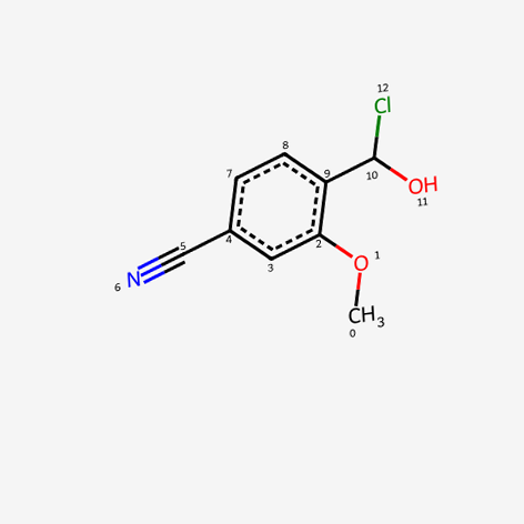 COc1cc(C#N)ccc1C(O)Cl